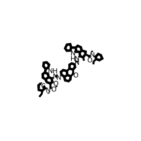 CCc1ccccc1N(C)C(=O)c1cc2ccc3c4ccccc4[nH]c3c2c(N=Nc2ccc3c(c2)C(=O)c2cccc4c(N=Nc5c(OC)c(C(=O)N(C)c6ccccc6CC)cc6ccc7c8ccccc8[nH]c7c56)ccc-3c24)c1C